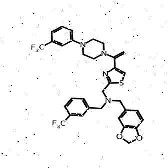 C=C(c1csc(CN(Cc2cccc(C(F)(F)F)c2)Cc2ccc3c(c2)OCO3)n1)N1CCN(c2cccc(C(F)(F)F)c2)CC1